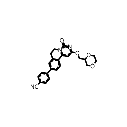 N#Cc1ccc(-c2ccc3c(c2)CCn2c-3cc(OCC3COCCO3)nc2=O)cc1